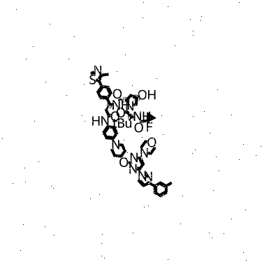 Cc1cccc(-c2ccn(-c3cc(N4CCOCC4)nc(OC4CCN(c5ccc(NC(=O)C[C@H](NC(=O)[C@@H]6C[C@@H](O)CN6C(=O)[C@@H](NC(=O)C6(F)CC6)C(C)(C)C)c6ccc(-c7scnc7C)cc6)cc5)CC4)n3)n2)c1